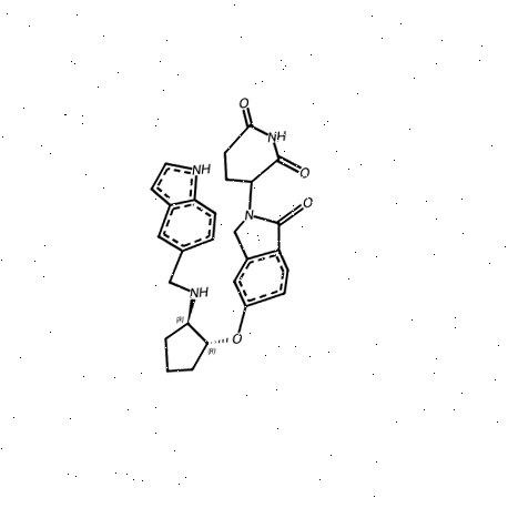 O=C1CCC(N2Cc3cc(O[C@@H]4CCC[C@H]4NCc4ccc5[nH]ccc5c4)ccc3C2=O)C(=O)N1